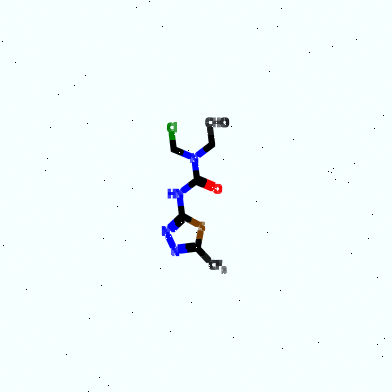 O=CCN(CCl)C(=O)Nc1nnc(C(F)(F)F)s1